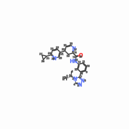 CC(C)[C@H](C)n1cnnc1C1=C=C=CC(NC(=O)C2=NC=CC(c3ccc(C4CC4)nc3)C2)=C1